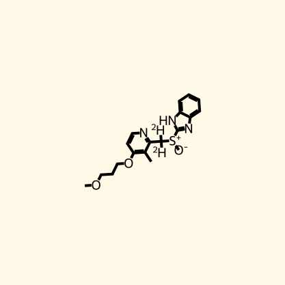 [2H]C([2H])(c1nccc(OCCCOC)c1C)[S+]([O-])c1nc2ccccc2[nH]1